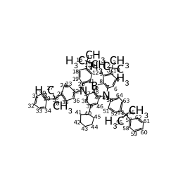 CC(C)(C)c1ccc2c(c1)B1c3cc(C(C)(C)C)ccc3N(c3ccc(C(C)(C)c4ccccc4)cc3)c3cc(C4CCCCC4)cc(c31)N2c1ccc(C(C)(C)c2ccccc2)cc1